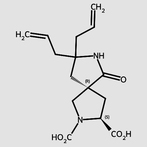 C=CCC1(CC=C)C[C@@]2(C[C@@H](C(=O)O)N(C(=O)O)C2)C(=O)N1